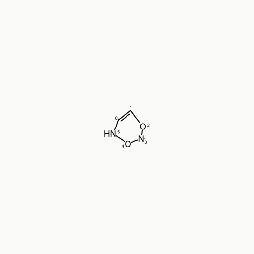 C1=CO[N]ON1